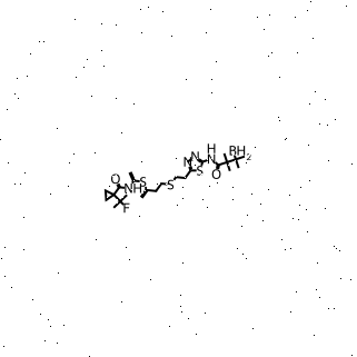 BC(C)(C)C(C)(C)C(=O)Nc1nnc(CCSCCC(=C)SC(=C)NC(=O)C2(C(C)(C)F)CC2)s1